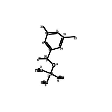 CCCC[Si](CCCC)(CCCC)O[C@@H](C)c1cc(C)cc(C)c1